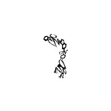 CN(C)c1ncc2c(n1)CCN(C1CCC(N(C)C(=O)c3ccc4c(c3)[C@H](NC(=O)c3ccccc3Cl)CC4)CC1)C2